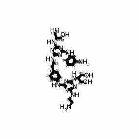 NCCNc1nc(Nc2ccc(CCNc3nc(Nc4cccc(N)c4)nc(NC(CO)CO)n3)cc2)nc(NC(CO)CO)n1